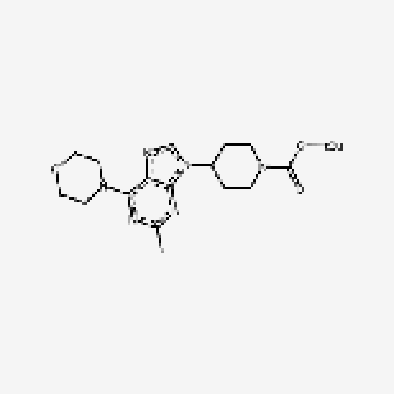 Cc1nc(N2CCOCC2)c2ncn(C3CCN(C(=O)OC(C)(C)C)CC3)c2n1